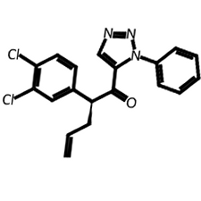 C=CC[C@H](C(=O)c1cnnn1-c1ccccc1)c1ccc(Cl)c(Cl)c1